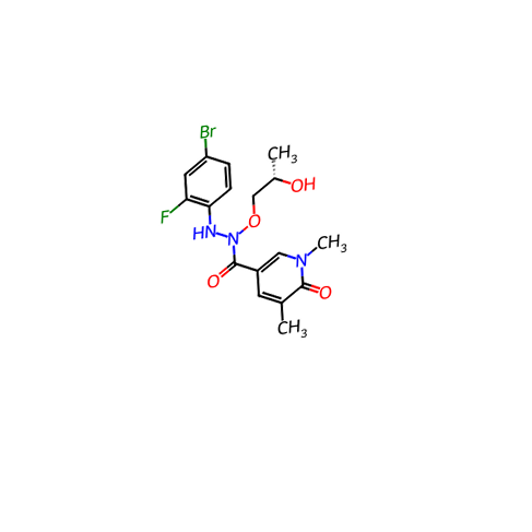 Cc1cc(C(=O)N(Nc2ccc(Br)cc2F)OC[C@H](C)O)cn(C)c1=O